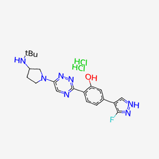 CC(C)(C)NC1CCN(c2cnc(-c3ccc(-c4c[nH]nc4F)cc3O)nn2)C1.Cl.Cl